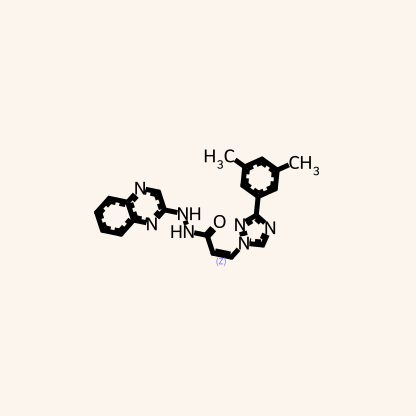 Cc1cc(C)cc(-c2ncn(/C=C\C(=O)NNc3cnc4ccccc4n3)n2)c1